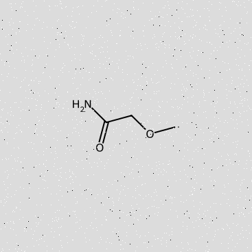 [CH2]OCC(N)=O